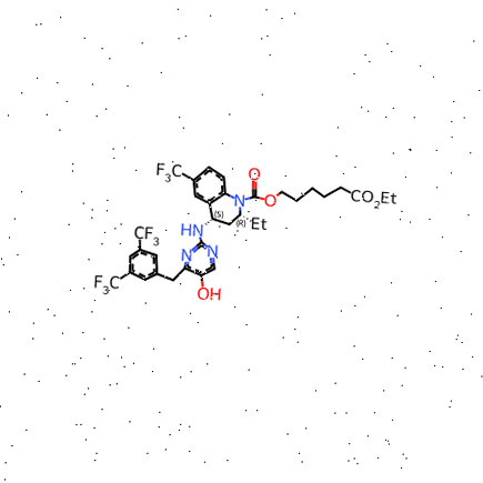 CCOC(=O)CCCCCOC(=O)N1c2ccc(C(F)(F)F)cc2[C@@H](Nc2ncc(O)c(Cc3cc(C(F)(F)F)cc(C(F)(F)F)c3)n2)C[C@H]1CC